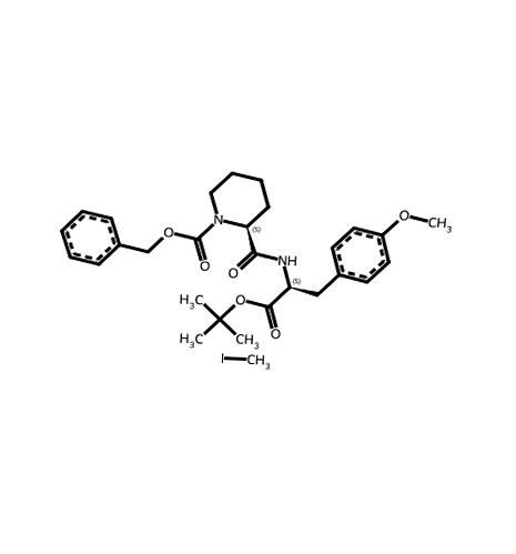 CI.COc1ccc(C[C@H](NC(=O)[C@@H]2CCCCN2C(=O)OCc2ccccc2)C(=O)OC(C)(C)C)cc1